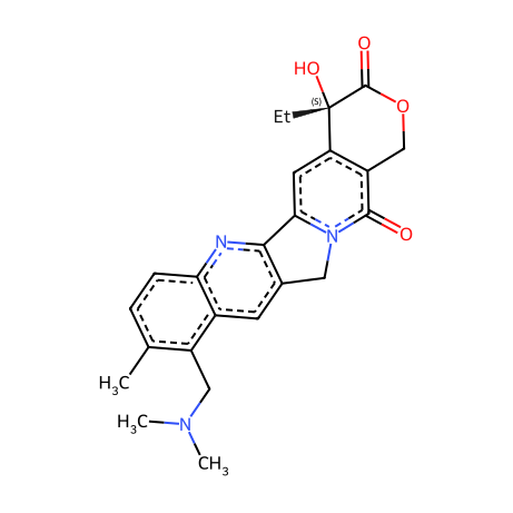 CC[C@@]1(O)C(=O)OCc2c1cc1n(c2=O)Cc2cc3c(CN(C)C)c(C)ccc3nc2-1